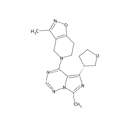 Cc1noc2c1CN(c1ncnn3c(C)nc([C@@H]4CCOC4)c13)CC2